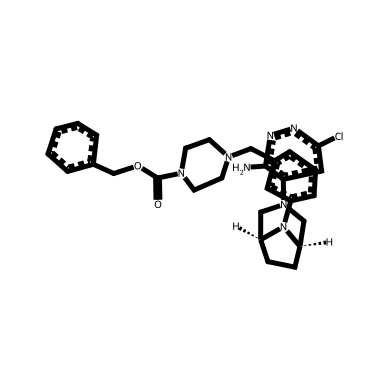 Nc1nnc(Cl)cc1N1C[C@H]2CC[C@@H](C1)N2c1cccc(CN2CCN(C(=O)OCc3ccccc3)CC2)c1